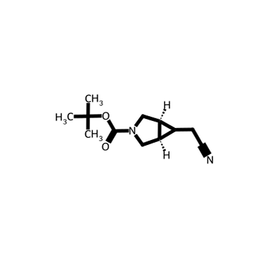 CC(C)(C)OC(=O)N1C[C@@H]2C(CC#N)[C@@H]2C1